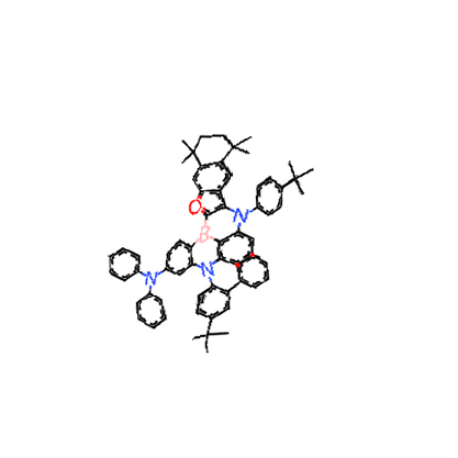 Cc1cc2c3c(c1)N(c1ccc(C(C)(C)C)cc1)c1c(oc4cc5c(cc14)C(C)(C)CCC5(C)C)B3c1ccc(N(c3ccccc3)c3ccccc3)cc1N2c1ccc(C(C)(C)C)cc1-c1ccccc1